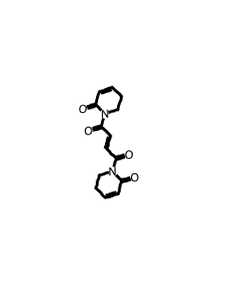 O=C1C=CCCN1C(=O)C=CC(=O)N1CCC=CC1=O